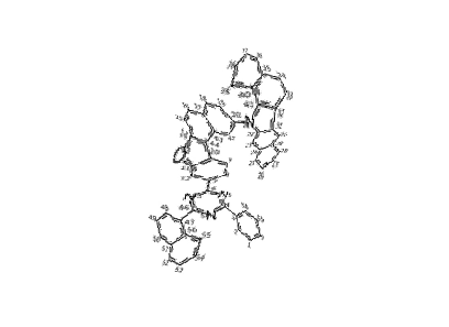 c1ccc(-c2nc(-c3ccc4c(c3)oc3ccc5ccc(-n6c7cc8ccccc8cc7c7ccc8ccccc8c76)cc5c34)nc(-c3cccc4ccccc34)n2)cc1